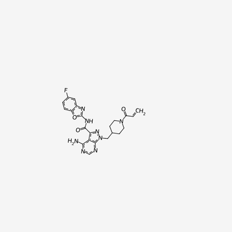 C=CC(=O)N1CCC(Cn2nc(C(=O)Nc3nc4cc(F)ccc4o3)c3c(N)ncnc32)CC1